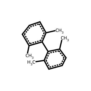 Cc1cccc(C)c1-c1c(C)cccc1C